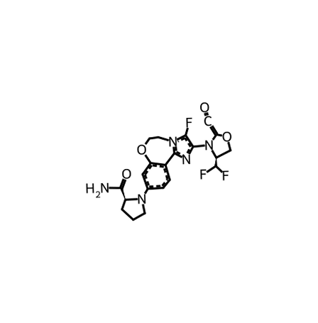 NC(=O)[C@@H]1CCCN1c1ccc2c(c1)OCCn1c-2nc(N2C(=C=O)OC[C@H]2C(F)F)c1F